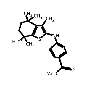 COC(=O)c1ccc(Nc2sc3c(c2C)C(C)(C)CCC3(C)C)cc1